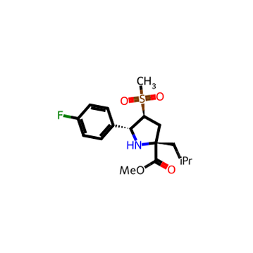 COC(=O)[C@@]1(CC(C)C)C[C@H](S(C)(=O)=O)[C@@H](c2ccc(F)cc2)N1